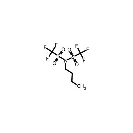 CCCCN(S(=O)(=O)C(F)(F)F)S(=O)(=O)C(F)(F)F